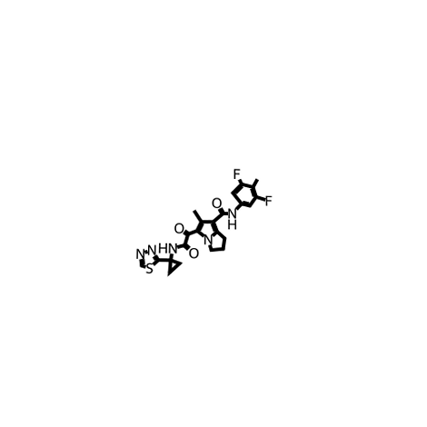 Cc1c(F)cc(NC(=O)c2c(C)c(C(=O)C(=O)NC3(c4nncs4)CC3)n3c2CCC3)cc1F